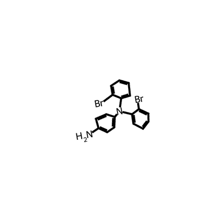 Nc1ccc(N(c2ccccc2Br)c2ccccc2Br)cc1